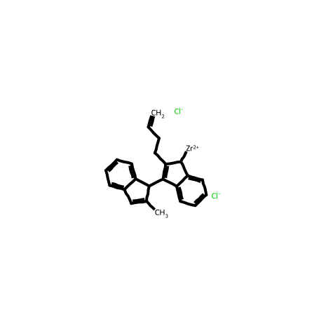 C=CCCC1=C(C2C(C)=Cc3ccccc32)c2ccccc2[CH]1[Zr+2].[Cl-].[Cl-]